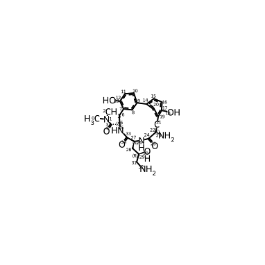 CN(C)C(=O)[C@@H]1Cc2cc(ccc2O)-c2ccc(O)c(c2)C[C@H](N)C(=O)N[C@@H](C[C@@H](O)CN)C(=O)N1